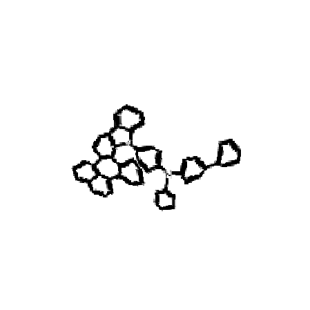 c1ccc(-c2ccc(N(c3ccccc3)c3ccc(-n4c5ccccc5c5ccc6c(c54)-c4ccccc4-c4cccc5cccc-6c45)cc3)cc2)cc1